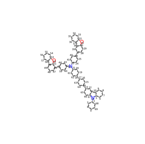 c1ccc(-n2c3ccccc3c3cc(-c4ccc(-c5ccc(N(c6ccc(-c7ccc8oc9ccccc9c8c7)cc6)c6ccc(-c7cccc8c7oc7ccccc78)cc6)cc5)cc4)ccc32)cc1